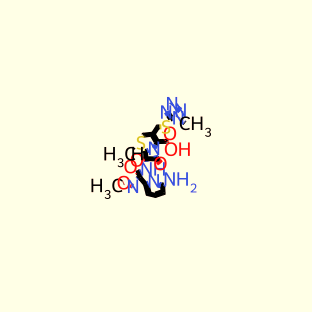 CO/N=C(\C(=O)NC1(OC)C(=O)N2C(C(=O)O)=C(CSc3nnnn3C)CS[C@@H]21)c1cccc(N)n1